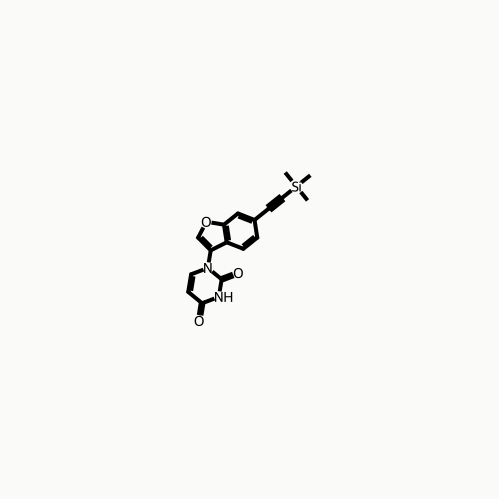 C[Si](C)(C)C#Cc1ccc2c(-n3ccc(=O)[nH]c3=O)coc2c1